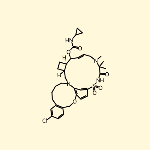 CN1C/C=C/[C@H](OC(=O)NC2CC2)[C@@H]2CC[C@H]2CN2CCCCc3cc(Cl)ccc3COc3ccc(cc32)S(=O)(=O)NC(=O)C1(C)C